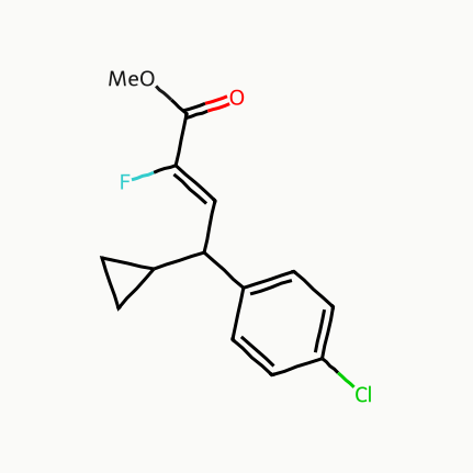 COC(=O)C(F)=CC(c1ccc(Cl)cc1)C1CC1